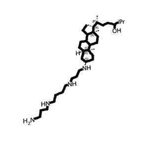 CC(C)C(O)CC[C@@H](C)[C@H]1CCC2C3CC[C@@H]4C[C@@H](NCCCNCCCCNCCCN)CC[C@]4(C)C3CC[C@@]21C